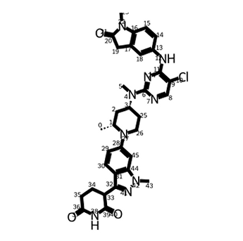 C[C@@H]1C[C@H](N(C)c2ncc(Cl)c(Nc3ccc4c(c3)CC(=O)N4C)n2)CCN1c1ccc2c(C3CCC(=O)NC3=O)nn(C)c2c1